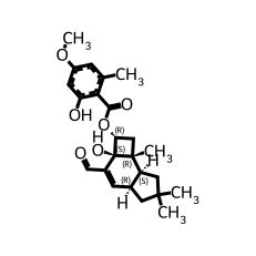 COc1cc(C)c(C(=O)O[C@@H]2C[C@]3(C)[C@H]4CC(C)(C)C[C@H]4C=C(C=O)[C@]23O)c(O)c1